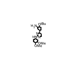 COc1ccc(Nc2nccc(-c3ccc(OC(C)(C)C)c(N)c3)n2)cc1OC